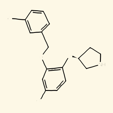 Clc1cccc(COc2cc(Cl)ccc2O[C@H]2CCNC2)c1